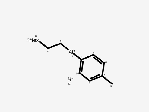 CCCCCCC[CH2][Al+][c]1ccc(C)cc1.[H-]